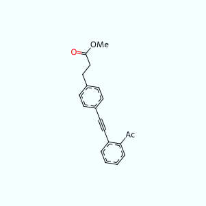 COC(=O)CCc1ccc(C#Cc2ccccc2C(C)=O)cc1